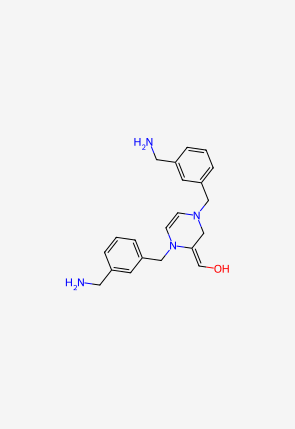 NCc1cccc(CN2C=CN(Cc3cccc(CN)c3)C(=CO)C2)c1